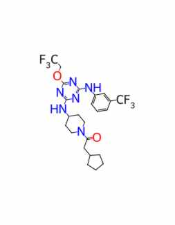 O=C(CC1CCCC1)N1CCC(Nc2nc(Nc3cccc(C(F)(F)F)c3)nc(OCC(F)(F)F)n2)CC1